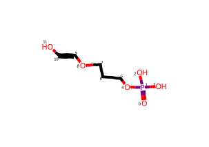 O=P(O)(O)OCCCOC=CO